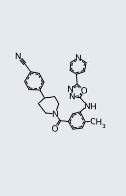 Cc1ccc(C(=O)N2CCC(c3ccc(C#N)cc3)CC2)cc1Nc1nnc(-c2ccncc2)o1